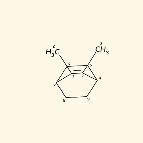 CC1=C(C)C2CCC1CC2